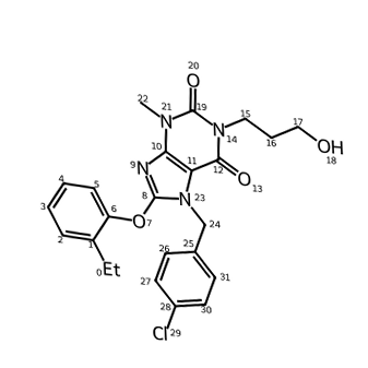 CCc1ccccc1Oc1nc2c(c(=O)n(CCCO)c(=O)n2C)n1Cc1ccc(Cl)cc1